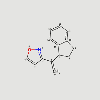 C=C(c1ccon1)C1CCc2ccccc21